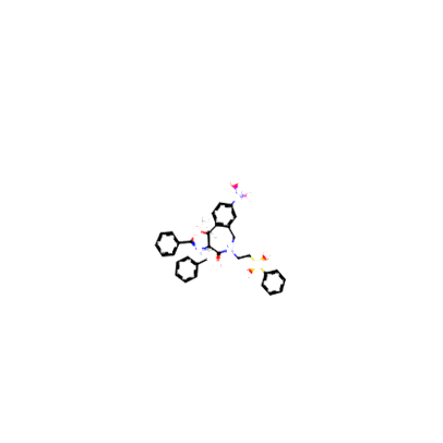 O=C1N(CCS(=O)(=O)c2ccccc2)Cc2cc([N+](=O)[O-])ccc2[C@@H]2OC(c3ccccc3)=N[C@]12Cc1ccccc1